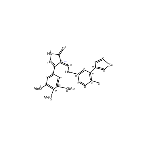 COc1cc(C2=NNC(=O)/C2=N/Nc2ccc(C)c(-c3ccsc3)c2)cc(OC)c1OC